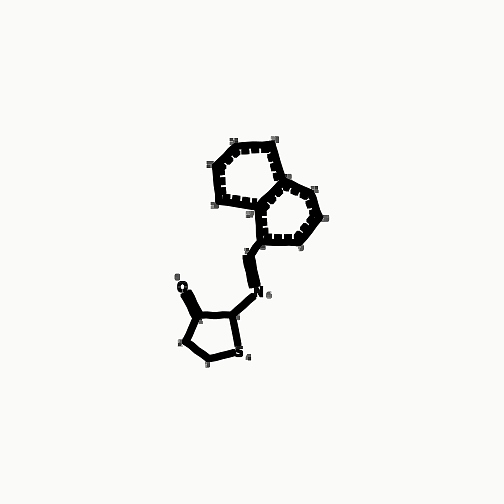 O=C1CCSC1N=Cc1cccc2ccccc12